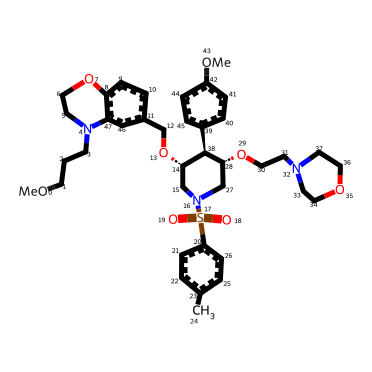 COCCCN1CCOc2ccc(CO[C@H]3CN(S(=O)(=O)c4ccc(C)cc4)C[C@@H](OCCN4CCOCC4)[C@@H]3c3ccc(OC)cc3)cc21